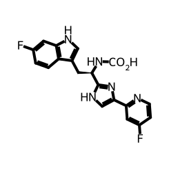 O=C(O)N[C@H](Cc1c[nH]c2cc(F)ccc12)c1nc(-c2cc(F)ccn2)c[nH]1